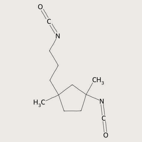 CC1(CCCN=C=O)CCC(C)(N=C=O)C1